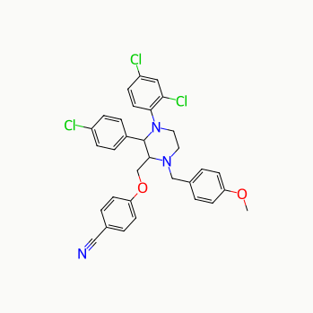 COc1ccc(CN2CCN(c3ccc(Cl)cc3Cl)C(c3ccc(Cl)cc3)C2COc2ccc(C#N)cc2)cc1